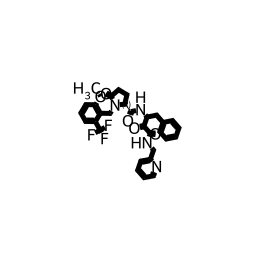 COc1cccc(C(F)(F)F)c1CN1C(=O)CC[C@@H]1C(=O)NC(Cc1ccccc1)C(=O)C(=O)NCc1ccccn1